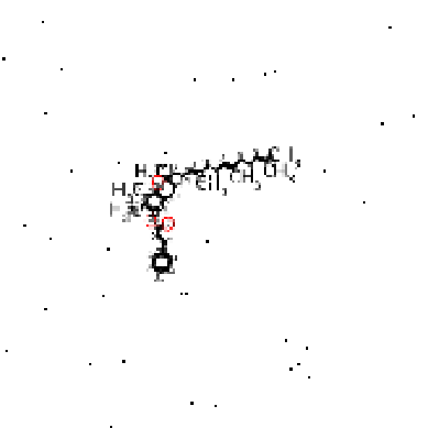 CC(C)=CCC/C(C)=C/CC/C(C)=C/CC[C@]1(C)CCc2cc(OC(=O)/C=C/c3c[c][c]cc3)c(C)c(C)c2O1